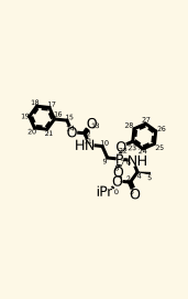 CC(C)OC(=O)[C@H](C)NP(=O)(CCNC(=O)OCc1ccccc1)Oc1ccccc1